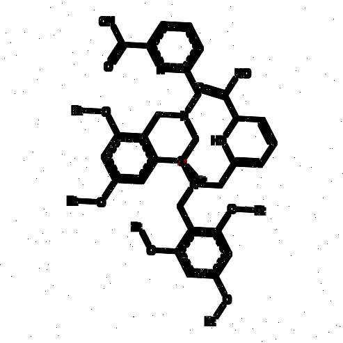 CCOc1cc(OCC)c(CN(CCN(Cc2cccc(C(=O)N=O)n2)Cc2c(OCC)cc(OCC)cc2OCC)CC2=CC=CC(C(=O)N=O)N2)c(OCC)c1